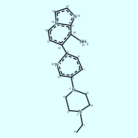 CCN1CCN(c2ccc(-c3ccn4ccnc4c3N)nc2)CC1